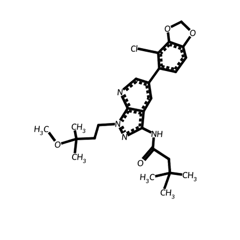 COC(C)(C)CCn1nc(NC(=O)CC(C)(C)C)c2cc(-c3ccc4c(c3Cl)OCO4)cnc21